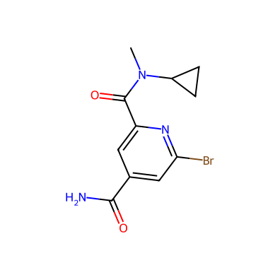 CN(C(=O)c1cc(C(N)=O)cc(Br)n1)C1CC1